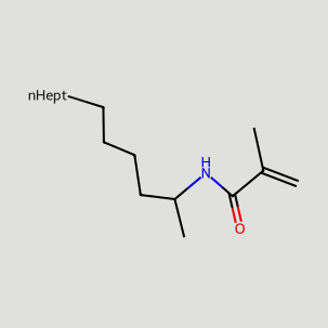 C=C(C)C(=O)NC(C)CCCCCCCCCCC